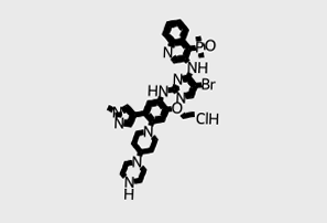 CCOc1cc(N2CCC(N3CCNCC3)CC2)c(-c2cnn(C)c2)cc1Nc1ncc(Br)c(Nc2cnc3ccccc3c2P(C)(C)=O)n1.Cl